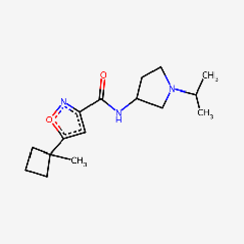 CC(C)N1CCC(NC(=O)c2cc(C3(C)CCC3)on2)C1